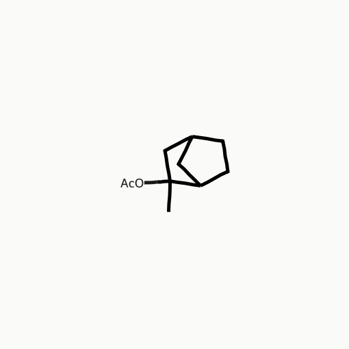 [CH2]C(=O)OC1(C)CC2CCC1C2